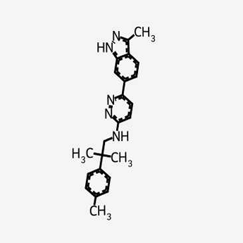 Cc1ccc(C(C)(C)CNc2ccc(-c3ccc4c(C)n[nH]c4c3)nn2)cc1